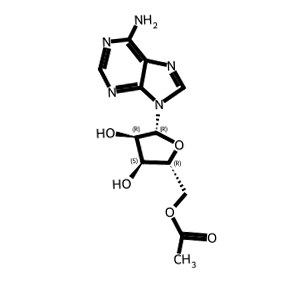 CC(=O)OC[C@H]1O[C@@H](n2cnc3c(N)ncnc32)[C@H](O)[C@@H]1O